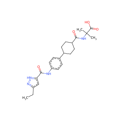 CCc1cc(C(=O)Nc2ccc(C3CCC(C(=O)NC(C)(C)C(=O)O)CC3)cc2)[nH]n1